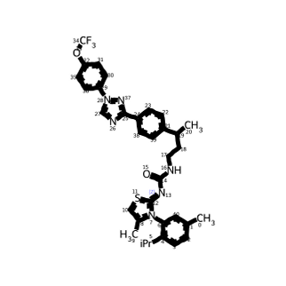 Cc1ccc(C(C)C)c(-n2c(C)cs/c2=N\C(=O)NCCC(C)c2ccc(-c3ncn(-c4ccc(OC(F)(F)F)cc4)n3)cc2)c1